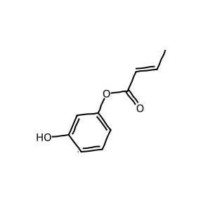 CC=CC(=O)Oc1cc[c]c(O)c1